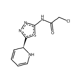 O=C(CCl)Nc1nnc([C@@H]2C=CC=CN2)s1